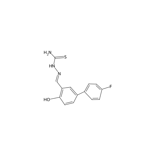 NC(=S)NN=Cc1cc(-c2ccc(F)cc2)ccc1O